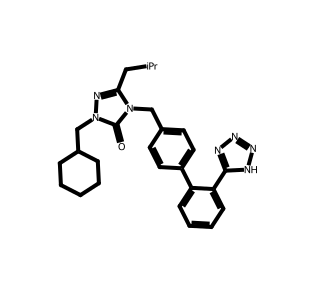 CC(C)Cc1nn(CC2CCCCC2)c(=O)n1Cc1ccc(-c2ccccc2-c2nnn[nH]2)cc1